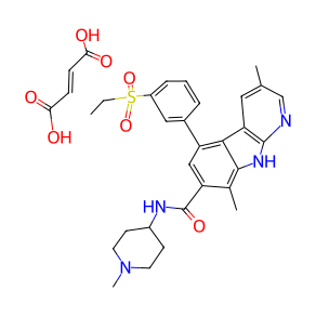 CCS(=O)(=O)c1cccc(-c2cc(C(=O)NC3CCN(C)CC3)c(C)c3[nH]c4ncc(C)cc4c23)c1.O=C(O)C=CC(=O)O